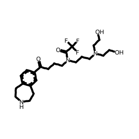 O=C(CCCN(CCCN(CCO)CCO)C(=O)C(F)(F)F)c1ccc2c(c1)CCNCC2